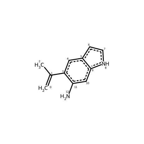 C=C(C)c1cc2cc[nH]c2cc1N